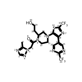 Cc1ncnn1CC(=O)N1CCN(c2sc(C(F)(F)F)nc2-c2cnc(C(F)(F)F)nc2)CC1CCO